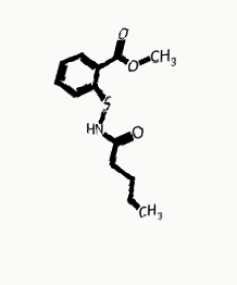 CCCCC(=O)NSc1ccccc1C(=O)OC